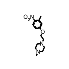 Cc1cc(OCCN2CCN(C)CC2)ccc1[N+](=O)[O-]